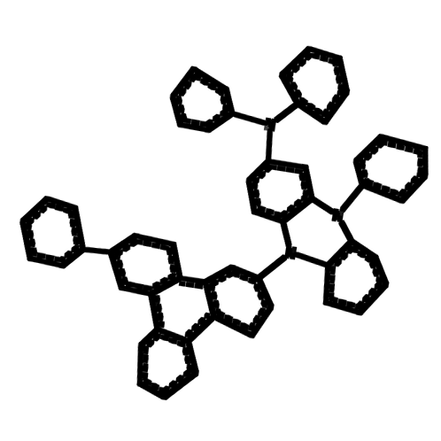 c1ccc(-c2ccc3c(c2)c2ccccc2c2ccc(N4c5ccccc5N(c5ccccc5)c5cc(N(c6ccccc6)c6ccccc6)ccc54)cc23)cc1